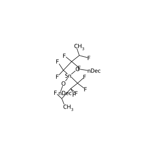 CCCCCCCCCC[O][Sn]([O]CCCCCCCCCC)([C](F)(F)C(F)(F)C(C)F)[C](F)(F)C(F)(F)C(C)F